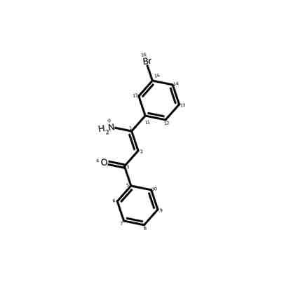 NC(=CC(=O)c1ccccc1)c1cccc(Br)c1